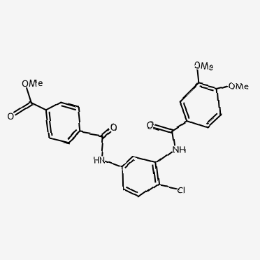 COC(=O)c1ccc(C(=O)Nc2ccc(Cl)c(NC(=O)c3ccc(OC)c(OC)c3)c2)cc1